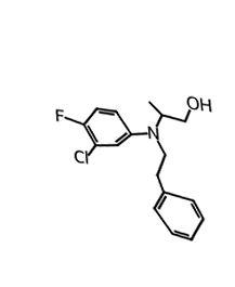 CC(CO)N(CCc1ccccc1)c1ccc(F)c(Cl)c1